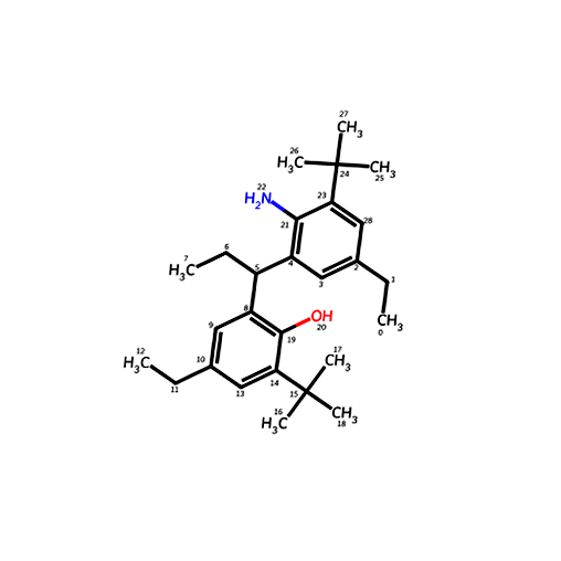 CCc1cc(C(CC)c2cc(CC)cc(C(C)(C)C)c2O)c(N)c(C(C)(C)C)c1